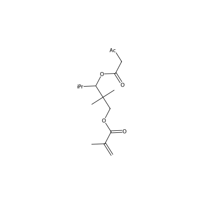 C=C(C)C(=O)OCC(C)(C)C(OC(=O)CC(C)=O)C(C)C